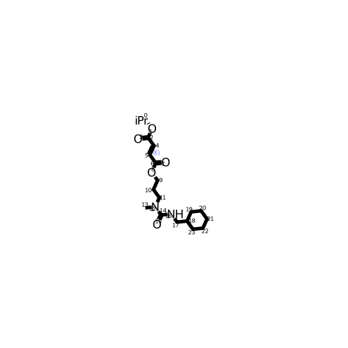 CC(C)OC(=O)/C=C/C(=O)OCCCN(C)C(=O)NCC1CCCCC1